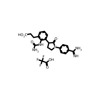 N=C(N)c1ccc(N2CCC(c3cccc(CCC(=O)O)c3NC(N)=O)C2=O)cc1.O=C(O)C(F)(F)F